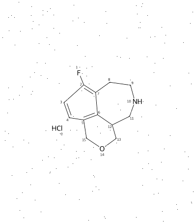 Cl.Fc1ccc2c3c1CCNCC3COC2